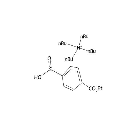 CCCC[N+](CCCC)(CCCC)CCCC.CCOC(=O)c1ccc(S(=O)O)cc1